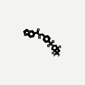 O=C(NCc1ccc(S(=O)(=O)N2C[C@@H]3CC(F)(F)[C@@H]3C2)cc1)c1ccc2nccn2c1